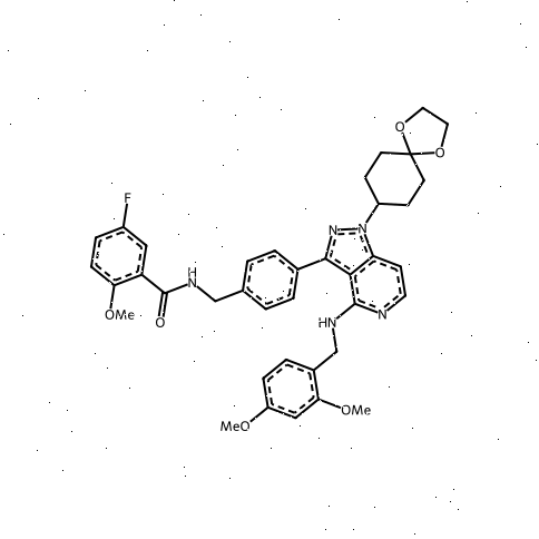 COc1ccc(CNc2nccc3c2c(-c2ccc(CNC(=O)c4cc(F)ccc4OC)cc2)nn3C2CCC3(CC2)OCCO3)c(OC)c1